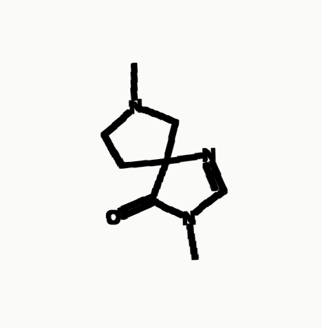 CN1CCC2(C1)N=CN(C)C2=O